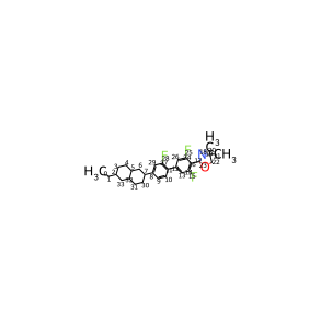 CCC1CCC2CC(c3ccc(-c4cc(F)c(C5=NC(C)(C)CO5)c(F)c4)c(F)c3)CCC2C1